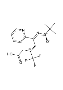 CC(C)(C)[S@@+]([O-])N=C(C[C@H](CC(=O)O)C(F)(F)F)c1ccccn1